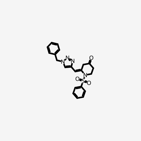 O=C1CCN(S(=O)(=O)c2ccccc2)C(=Cc2cn(Cc3ccccc3)nn2)C1